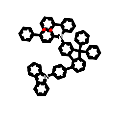 c1ccc(-c2ccc(N(c3ccc4c(c3)C(c3ccccc3)(c3ccccc3)c3cccc(-c5ccc(-n6c7ccccc7c7ccccc76)cc5)c3-4)c3ccccc3-c3ccccc3)cc2)cc1